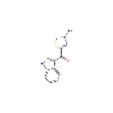 CC(C)(C)c1csc(C(=O)c2c[nH]c3ccccc23)n1